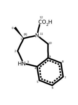 C[C@@H]1CNc2ccccc2CN1C(=O)O